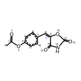 CC(=O)Oc1ccc(/C=C2/OC(=O)NC2=O)cc1